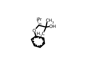 CC(C)[C@@H](Oc1ccccc1)C(C)(C)O